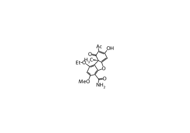 CCOc1cc(OC)c(C(N)=O)c2c1[C@]1(C)C(=O)C(C(C)=O)=C(O)C=C1O2